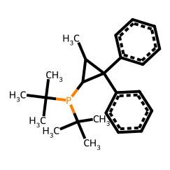 CC1C(P(C(C)(C)C)C(C)(C)C)C1(c1ccccc1)c1ccccc1